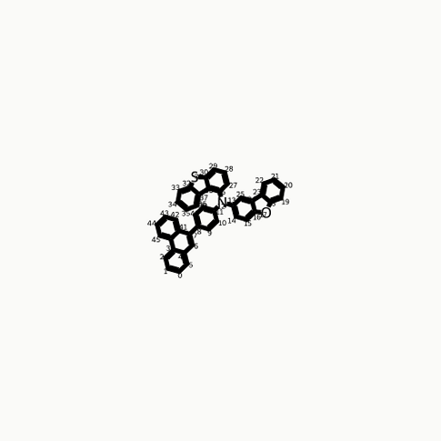 c1ccc2c(c1)cc(-c1ccc(N(c3ccc4oc5ccccc5c4c3)c3cccc4sc5ccccc5c34)cc1)c1ccccc12